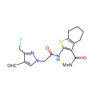 CNC(=O)c1c(NC(=O)Cn2cc(C=O)c(CF)n2)sc2c1CCCC2